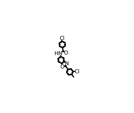 Cc1ccc(-c2nc3cc(NC(=O)c4ccc(Cl)cc4)ccc3o2)cc1Cl